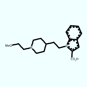 COCCN1CCC(CCn2c(C(=O)O)cc3ccccc32)CC1